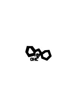 O=CNC1(Cc2ccccc2)CCCCC1